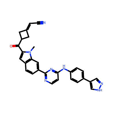 Cn1c(C(=O)C2CC(=CC#N)C2)cc2ccc(-c3nccc(Nc4ccc(-c5cn[nH]c5)cc4)n3)cc21